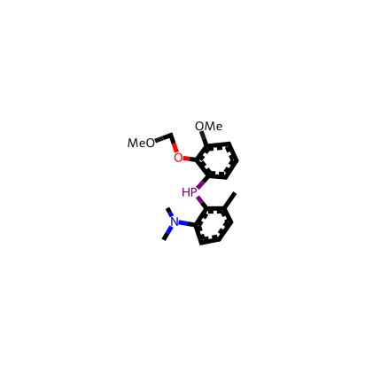 COCOc1c(OC)cccc1Pc1c(C)cccc1N(C)C